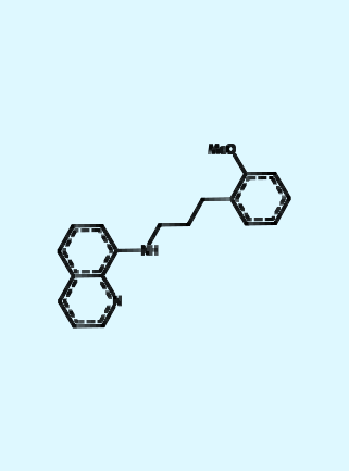 COc1ccccc1CCCNc1cccc2cccnc12